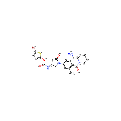 Cc1cc(N2CC(NC(=O)Oc3ccc(Br)s3)CC2=O)ccc1C(=O)N1CCCCC1CN